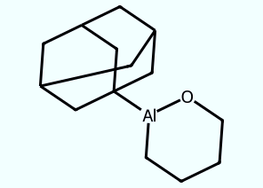 C1C[CH2][Al]([C]23CC4CC(CC(C4)C2)C3)[O]C1